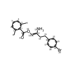 Cc1cccc(C)c1C(=O)O/N=C(\N)CCc1ccc(Br)cc1